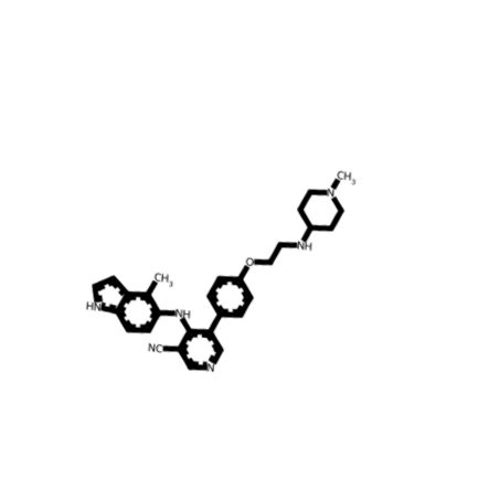 Cc1c(Nc2c(C#N)cncc2-c2ccc(OCCNC3CCN(C)CC3)cc2)ccc2[nH]ccc12